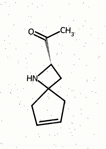 CC(=O)[C@@H]1CC2(CC=CC2)N1